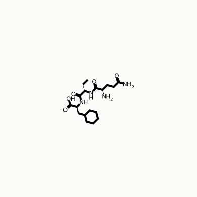 CC[C@H](NC(=O)[C@@H](N)CCC(N)=O)C(=O)N[C@@H](CC1CCCCC1)C(=O)O